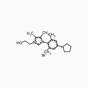 Cc1cc(N2CCCC2)cc(C)c1-n1c[n+](CCO)c(C)c1C.[Br-]